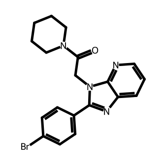 O=C(Cn1c(-c2ccc(Br)cc2)nc2cccnc21)N1CCCCC1